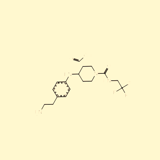 NCCc1ccc(NC2CCN(C(=O)NCC(F)(F)F)CC2)cc1.O=CO